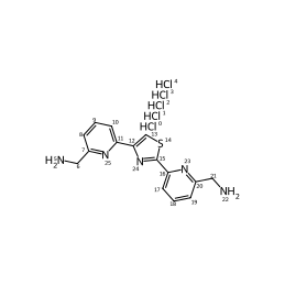 Cl.Cl.Cl.Cl.Cl.NCc1cccc(-c2csc(-c3cccc(CN)n3)n2)n1